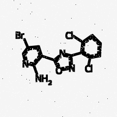 Nc1ncc(Br)cc1-c1nc(-c2c(Cl)cccc2Cl)no1